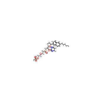 CCCCCc1ccc2cc(C(CC)OCC(C[S+]([O-])CCOCCOS(C)(=O)=O)Oc3ncccn3)ccc2c1